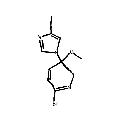 COC1(n2cnc(C)c2)C=CC(Br)=NC1